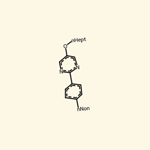 CCCCCCCCCc1ccc(-c2ncc(OCCCCCCC)cn2)cc1